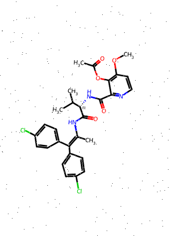 COc1ccnc(C(=O)N[C@H](C(=O)NC(C)=C(c2ccc(Cl)cc2)c2ccc(Cl)cc2)C(C)C)c1OC(C)=O